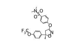 CN(C)S(=O)(=O)c1ccc(OC2=NO[C@](C)(c3ccc(OC(F)(F)F)cc3)C2)cc1